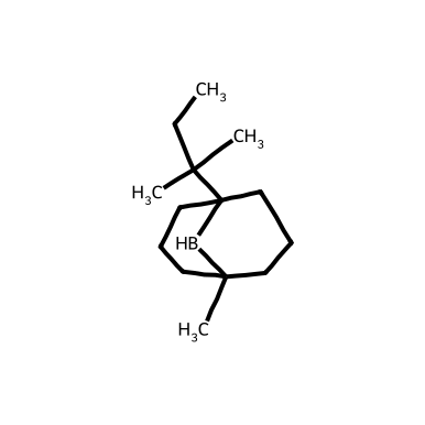 CCC(C)(C)C12BC(C)(CCC1)CCC2